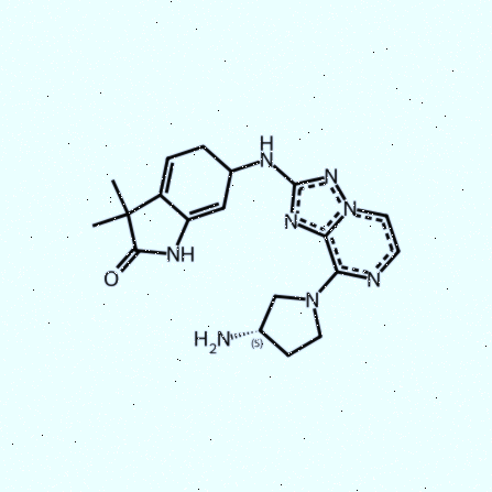 CC1(C)C(=O)NC2=CC(Nc3nc4c(N5CC[C@H](N)C5)nccn4n3)CC=C21